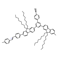 CCCCCCCCC1(CCCCCCCC)c2cc(C)ccc2-c2ccc(-c3cc(-c4ccc(C#N)cc4)cc(-c4ccc5c(c4)C(CCCCCCCC)(CCCCCCCC)c4cc(-c6ccc(/C=C/c7ccc(C)cc7)cc6)ccc4-5)c3)cc21